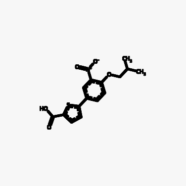 CC(C)COc1ccc(-c2ccc(C(=O)O)s2)cc1[N+](=O)[O-]